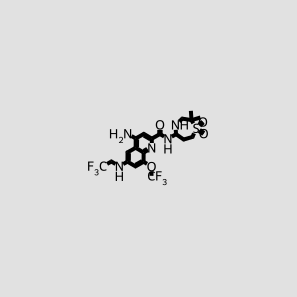 CC1(C)CNC(NC(=O)c2cc(N)c3cc(NCC(F)(F)F)cc(OC(F)(F)F)c3n2)CCS1(=O)=O